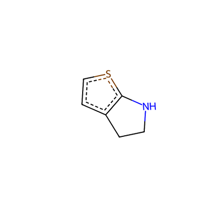 c1cc2c(s1)NCC2